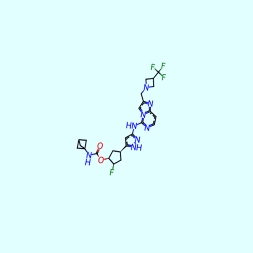 O=C(NC12CC(C1)C2)O[C@H]1C[C@@H](c2cc(Nc3nccc4nc(CN5CC(C(F)(F)F)C5)cn34)n[nH]2)C[C@H]1F